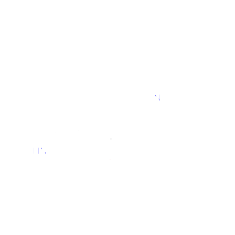 O=C(CCCC1CCNCC1)c1ccc2c(c1)CCN(Cc1ccccc1)CC2